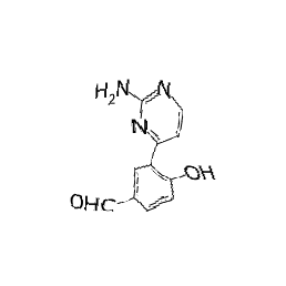 Nc1nccc(-c2cc(C=O)ccc2O)n1